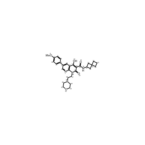 COc1ccc(-c2cnc3c(c2)c(O)c(C(=O)NC2CC4(CCC4)C2)c(=O)n3CCN2CCOCC2)cc1